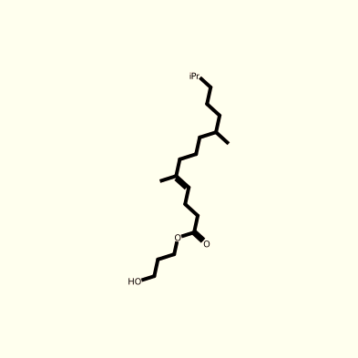 CC(=CCCC(=O)OCCCO)CCCC(C)CCCC(C)C